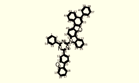 c1ccc(-c2nc(-c3ccc4c(c3)oc3ccccc34)nc(-n3c4ccccc4c4c5oc6cc(-c7ccccc7)c7ccccc7c6c5ccc43)n2)cc1